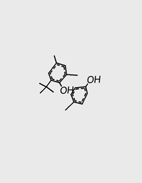 Cc1cc(C)c(O)c(C(C)(C)C)c1.Cc1ccc(O)cc1